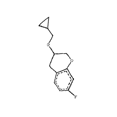 Fc1ccc2c(c1)OCC(OCC1CC1)C2